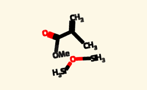 C=C(C)C(=O)OC.[SiH3]O[SiH3]